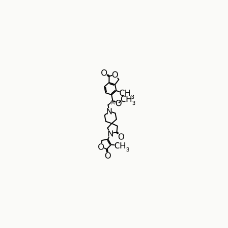 CO[C@@H](CN1CCC2(CC1)CC(=O)N(C1=C(C)C(=O)OC1)C2)c1ccc2c(c1C)COC2=O